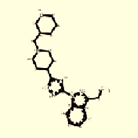 CCc1nn(-c2noc(C3CCN(CC4CCCOC4)CC3)n2)c2ccccc12